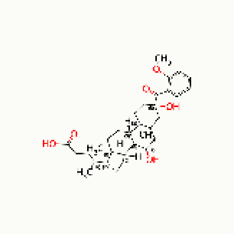 COc1ccccc1C(=O)[C@@]1(O)CC[C@@]2(C)C(C[C@@H](O)[C@H]3[C@@H]4CC[C@H]([C@H](C)CCC(=O)O)[C@@]4(C)CC[C@@H]32)C1